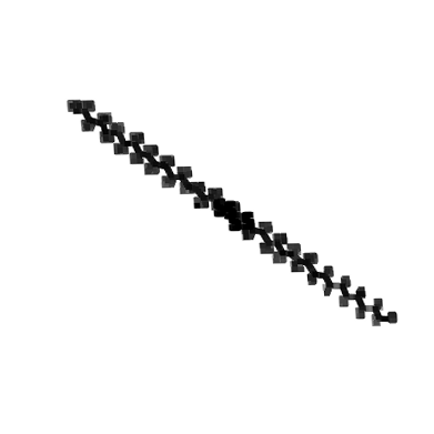 CCCCCCCCCCCCCCCCCCSSSSCCCCCCCCCCCCCCCCCC